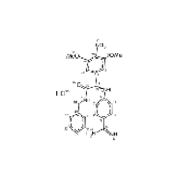 COc1cc([C@@H](Nc2ccc(C(=N)N)cc2)C(=O)NCc2ccccc2)cc(OC)c1[N+](=O)[O-].Cl